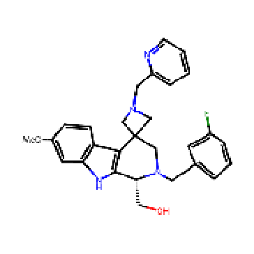 COc1ccc2c3c([nH]c2c1)[C@@H](CO)N(Cc1cccc(F)c1)CC31CN(Cc2ccccn2)C1